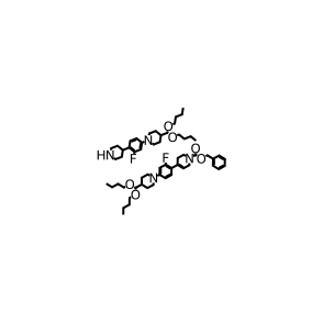 CCCCOC(OCCCC)C1CCN(c2ccc(C3=CCN(C(=O)OCc4ccccc4)CC3)c(F)c2)CC1.CCCCOC(OCCCC)C1CCN(c2ccc(C3CCNCC3)c(F)c2)CC1